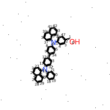 OCc1ccc(N(c2ccc(-c3ccc(N(c4ccccc4)c4cccc5ccccc45)cc3)cc2)c2cccc3ccccc23)cc1